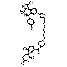 Cc1nnc2n1-c1ccc(-c3cnn(CCCCCCCN4CCN(C(=O)c5ccc(=O)n(C6CCC(=O)NC6=O)c5)CC4)c3)cc1C(c1ccc(Cl)cc1)=NC21CC1